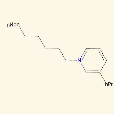 CCCCCCCCCCCCCC[n+]1cccc(CCC)c1